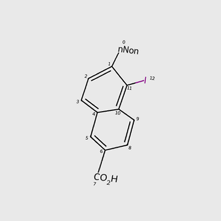 CCCCCCCCCc1ccc2cc(C(=O)O)ccc2c1I